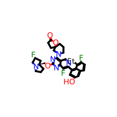 CCc1c(F)ccc2cc(O)cc(-c3ncc4c(N5CCCC6(CCC(=O)O6)C5)nc(OC[C@@]56CCCN5C[C@H](F)C6)nc4c3F)c12